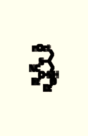 CCCCCCCCCC(C[SiH](OCC)OCC)SC#N